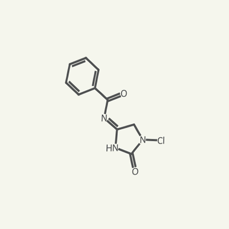 O=C(N=C1CN(Cl)C(=O)N1)c1ccccc1